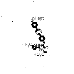 CCCCCCCOc1ccc(-c2cnc(-c3ccc(C[C@H](NC(=O)c4ccc(C(F)(F)F)s4)C(=O)N[C@H](C)C(=O)O)cc3)nc2)cc1